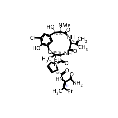 C=C(C)[C@@H]1NC(=O)[C@@H](NC)[C@@H](O)c2cc(Cl)c(O)c(c2)O[C@](C)(CC)[C@@H](C(=O)N2CC=C[C@H]2C(=O)N/C(C(N)=O)=C(\C)CC)NC1=O